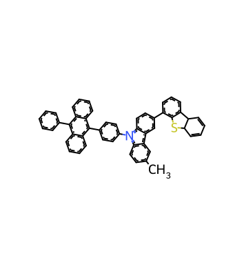 Cc1ccc2c(c1)c1cc(-c3cccc4c3SC3C=CC=CC43)ccc1n2-c1ccc(-c2c3ccccc3c(-c3ccccc3)c3ccccc23)cc1